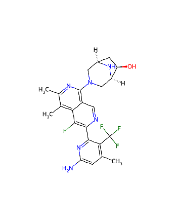 Cc1cc(N)nc(-c2ncc3c(N4C[C@H]5C[C@@H](O)[C@@H](C4)N5)nc(C)c(C)c3c2F)c1C(F)(F)F